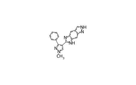 Cn1cc(-c2nc3cc4c[nH]nc4cc3[nH]2)c(-c2ccccc2)n1